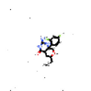 COCC1CC2C(=O)NC(=N)NC2(c2ccc(F)cc2F)CO1